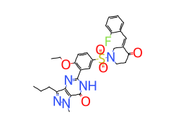 CCCc1nn(C)c2c(=O)[nH]c(-c3cc(S(=O)(=O)N4CCC(=O)C(=Cc5ccccc5F)C4)ccc3OCC)nc12